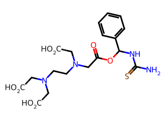 NC(=S)NC(OC(=O)CN(CCN(CC(=O)O)CC(=O)O)CC(=O)O)c1ccccc1